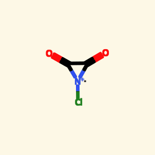 O=C1C(=O)[N+]1Cl